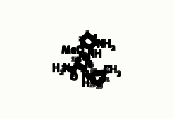 CO[C@@H]1CCC[C@H](N)[C@@H]1Nc1ncc(C(N)=O)c(Nc2cccc(C)c2)n1